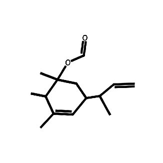 C=CC(C)C1C=C(C)C(C)C(C)(OC=O)C1